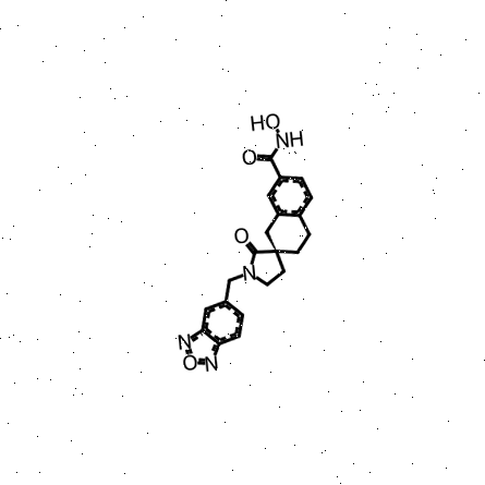 O=C(NO)c1ccc2c(c1)C[C@@]1(CC2)CCN(Cc2ccc3nonc3c2)C1=O